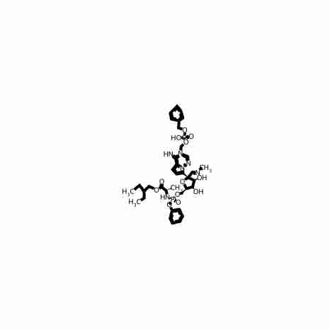 CCC(CC)COC(=O)[C@H](C)N[P@](=O)(OC[C@H]1O[C@@](C=NC)(c2ccc3c(=N)n(COP(=O)(O)OCc4ccccc4)cnn23)[C@H](O)[C@@H]1O)Oc1ccccc1